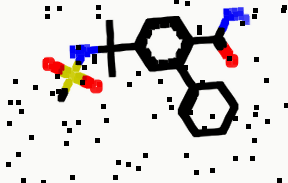 CC(C)(NS(C)(=O)=O)c1ccc(C(N)=O)c(C2=CCCCC2)c1